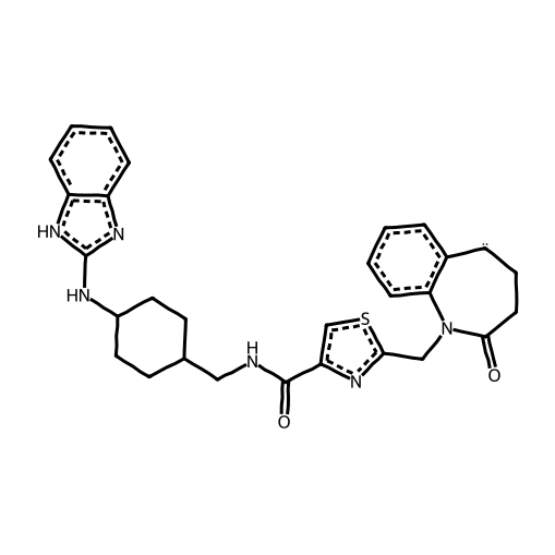 O=C(NCC1CCC(Nc2nc3ccccc3[nH]2)CC1)c1csc(CN2C(=O)CC[C]c3ccccc32)n1